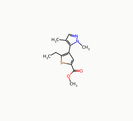 CCc1sc(C(=O)OC)cc1-c1c(C)cnn1C